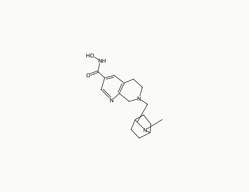 CN1C2CCC(CC2)C1CN1CCc2cc(C(=O)NO)cnc2C1